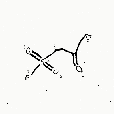 CC(C)C(=O)CS(=O)(=O)C(C)C